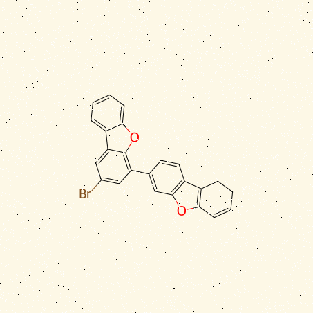 Brc1cc(-c2ccc3c4c(oc3c2)C=CCC4)c2oc3ccccc3c2c1